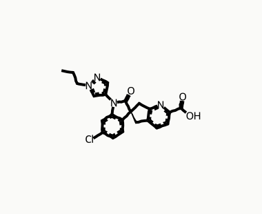 CCCn1cc(N2C(=O)[C@@]3(Cc4ccc(C(=O)O)nc4C3)c3ccc(Cl)cc32)cn1